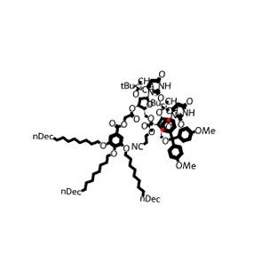 CCCCCCCCCCCCCCCCCCOc1cc(C(=O)OCC(=O)O[C@@H]2[C@@H](O[Si](C)(C)C(C)(C)C)[C@H](n3ccc(=O)[nH]c3=O)O[C@@H]2COP(=O)(OCCC#N)[C@@H]2[C@H](O[Si](C)(C)C(C)(C)C)[C@H](n3ccc(=O)[nH]c3=O)O[C@@H]2COC(c2ccccc2)(c2ccc(OC)cc2)c2ccc(OC)cc2)cc(OCCCCCCCCCCCCCCCCCC)c1OCCCCCCCCCCCCCCCCCC